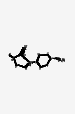 CN1CCN([C@H]2CC[C@@H](C(=O)O)CC2)C1=O